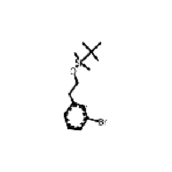 CC(C)(C)[Si](C)(C)OCCc1[c]c(Br)ccc1